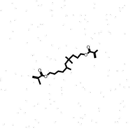 C=C(C)C(=O)OCCCCC(C)CC(C)(C)CCCOC(=O)C(=C)C